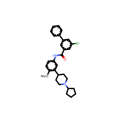 COc1ccc(NC(=O)c2cc(Cl)cc(-c3ccccc3)c2)cc1C1CCN(C2CCCC2)CC1